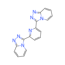 c1cc(-c2nnc3ccccn23)nc(-c2nnc3ccccn23)c1